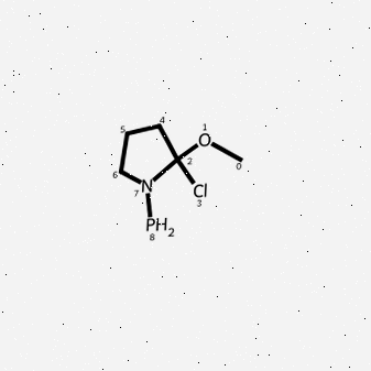 COC1(Cl)CCCN1P